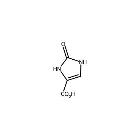 O=C(O)c1c[nH]c(=O)[nH]1